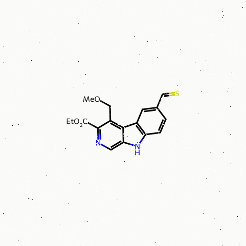 CCOC(=O)c1ncc2[nH]c3ccc(C=S)cc3c2c1COC